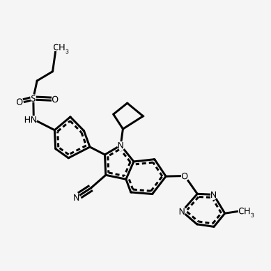 CCCS(=O)(=O)Nc1ccc(-c2c(C#N)c3ccc(Oc4nccc(C)n4)cc3n2C2CCC2)cc1